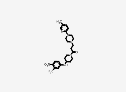 Cc1ccc(N2CCN(CCC(=O)N3CCC(Nc4ccc([N+](=O)[O-])c(C(F)(F)F)c4)CC3)CC2)nc1